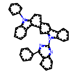 c1ccc(-c2nc(-n3c4ccccc4c4cc5ccc6c(c5cc43)c3ccccc3n6-c3ccccc3)nc3ccccc23)cc1